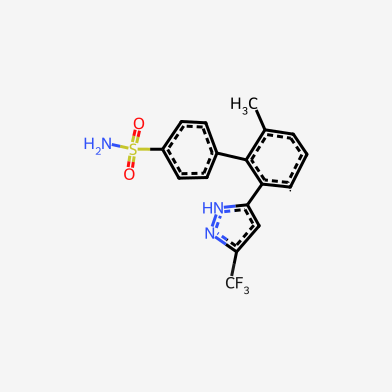 Cc1cc[c]c(-c2cc(C(F)(F)F)n[nH]2)c1-c1ccc(S(N)(=O)=O)cc1